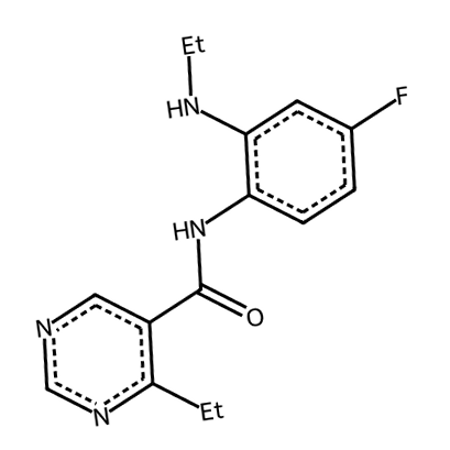 CCNc1cc(F)ccc1NC(=O)c1cncnc1CC